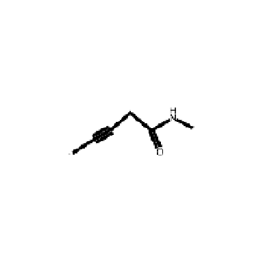 [CH2]C#CCC(=O)NC